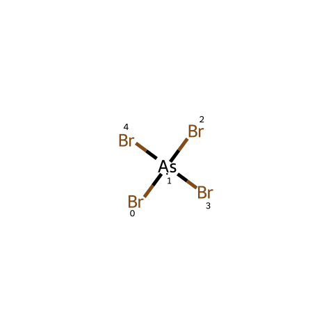 Br[As](Br)(Br)Br